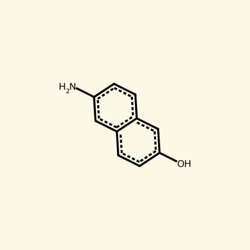 Nc1ccc2cc(O)ccc2c1